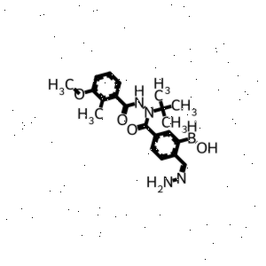 COc1cccc(C(=O)NN(C(=O)c2ccc(/C=N\N)c(BO)c2)C(C)(C)C)c1C